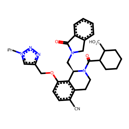 CC(C)n1cc(COc2ccc(C#N)c3c2[C@@H](CN2Cc4ccccc4C2=O)N(C(=O)C2CCCCC2C(=O)O)CC3)nn1